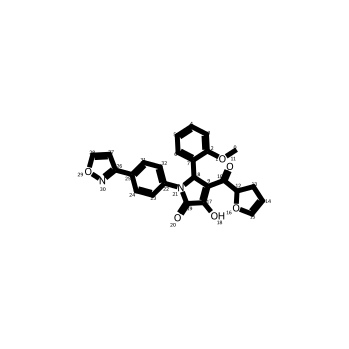 COc1ccccc1C1C(C(=O)C2CC=CO2)=C(O)C(=O)N1c1ccc(-c2ccon2)cc1